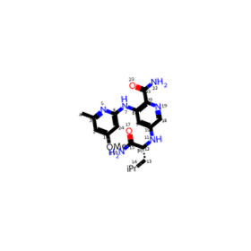 COc1cc(C)nc(Nc2cc(N[C@H](CC(C)C)C(N)=O)cnc2C(N)=O)c1